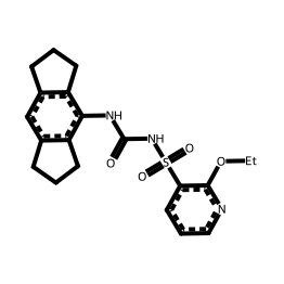 CCOc1ncccc1S(=O)(=O)NC(=O)Nc1c2c(cc3c1CCC3)CCC2